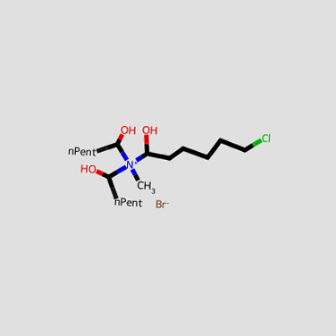 CCCCCC(O)[N+](C)(C(O)CCCCC)C(O)CCCCCCl.[Br-]